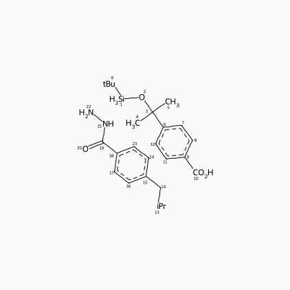 CC(C)(C)[SiH2]OC(C)(C)c1ccc(C(=O)O)cc1.CC(C)Cc1ccc(C(=O)NN)cc1